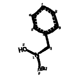 CCCCN(O)Cc1ccccc1